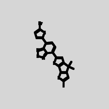 Cc1cc2c(s1)-c1sc(-c3ccc(-c4ccc(Br)s4)c4nsnc34)cc1C2(C)C